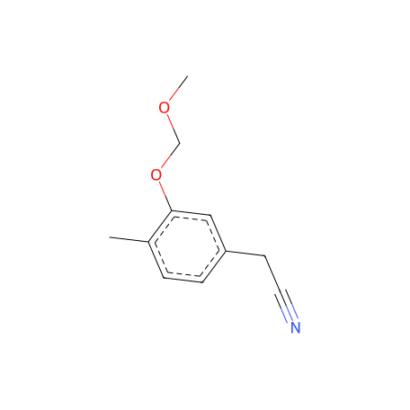 COCOc1cc(CC#N)ccc1C